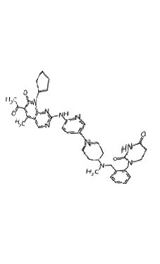 CC(=O)c1c(C)c2cnc(Nc3ccc(N4CCC(N(C)Cc5ccccc5N5CCC(=O)NC5=O)CC4)cn3)nc2n(C2CCCC2)c1=O